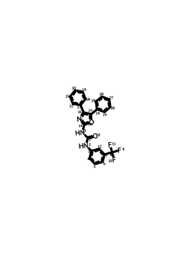 O=C(Nc1cccc(C(F)(F)F)c1)Nc1nc(-c2ccccc2)c(-c2ccccc2)o1